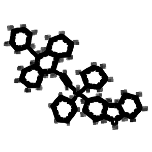 C(#C[Si](c1ccccc1)(c1ccccc1)c1ccc2oc3ccccc3c2c1)c1c2ccccc2c(-c2ccccc2)c2ccccc12